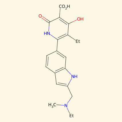 CCc1c(-c2ccc3cc(CN(C)CC)[nH]c3c2)[nH]c(=O)c(C(=O)O)c1O